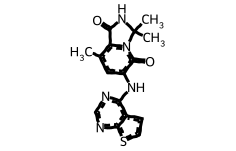 Cc1cc(Nc2ncnc3sccc23)c(=O)n2c1C(=O)NC2(C)C